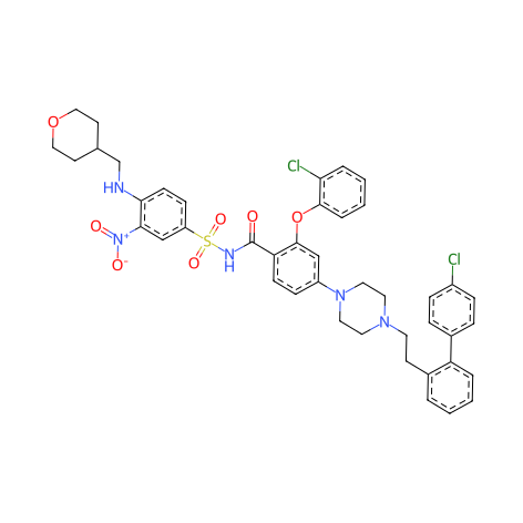 O=C(NS(=O)(=O)c1ccc(NCC2CCOCC2)c([N+](=O)[O-])c1)c1ccc(N2CCN(CCc3ccccc3-c3ccc(Cl)cc3)CC2)cc1Oc1ccccc1Cl